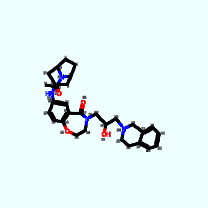 CC(=O)N1C2CCC1CC(Nc1ccc3c(c1)C(=O)N(CC(O)CN1CCc4ccccc4C1)CCO3)C2